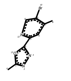 Cc1nnc(-c2cc(C)c(Br)cn2)o1